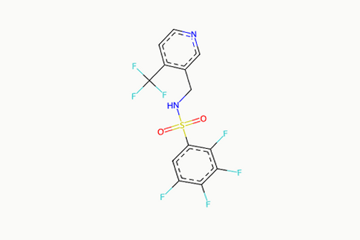 O=S(=O)(NCc1cnccc1C(F)(F)F)c1cc(F)c(F)c(F)c1F